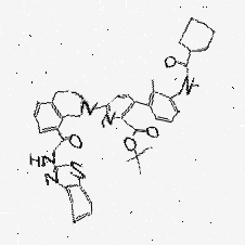 Cc1c(-c2ccc(N3CCc4cccc(C(=O)Nc5nc6ccccc6s5)c4C3)nc2C(=O)OC(C)(C)C)cccc1N(C)C(=O)C1CCCCC1